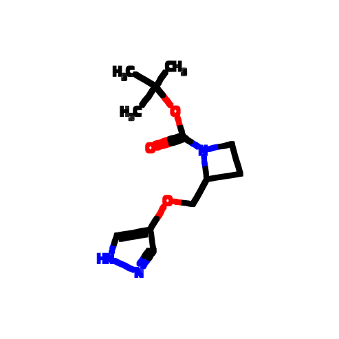 CC(C)(C)OC(=O)N1CCC1COc1cn[nH]c1